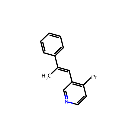 C/C(=C\c1cnccc1C(C)C)c1ccccc1